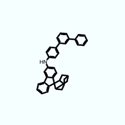 c1ccc(-c2cccc(-c3ccc(Nc4ccc5c(c4)-c4ccccc4C54C5CC6CC(C5)C4C6)cc3)c2)cc1